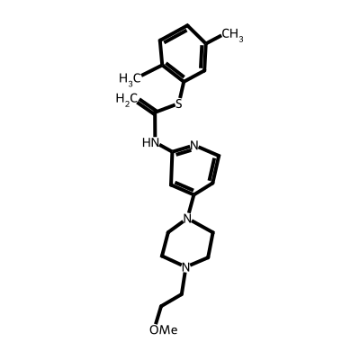 C=C(Nc1cc(N2CCN(CCOC)CC2)ccn1)Sc1cc(C)ccc1C